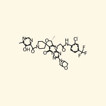 Cc1ncnc(C(=O)N2CCC3(CC2)O[C@H](C)c2c3c(=O)n3nc(N4CC5CC4CO5)nc3n2CC(=O)Nc2ccc(C(F)(F)F)cc2Cl)c1O